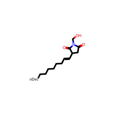 CCCCCCCCCCCCCCCCC=CC1CC(=O)N(CO)C1=O